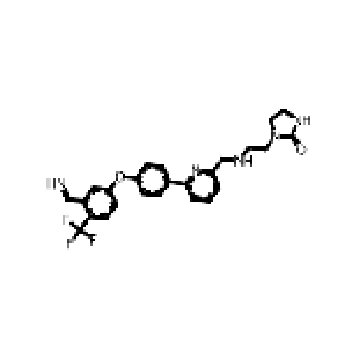 N=Cc1cc(Oc2ccc(-c3cccc(CNCCN4CCNC4=O)n3)cc2)ccc1C(F)(F)F